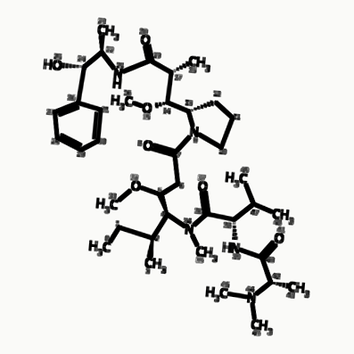 CC[C@H](C)[C@@H](C(CC(=O)N1CCC[C@H]1[C@H](OC)[C@@H](C)C(=O)N[C@H](C)[C@@H](O)c1ccccc1)OC)N(C)C(=O)[C@@H](NC(=O)[C@H](C)N(C)C)C(C)C